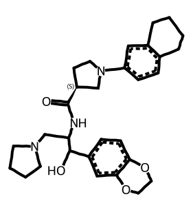 O=C(NC(CN1CCCC1)C(O)c1ccc2c(c1)OCCO2)[C@H]1CCN(c2ccc3c(c2)CCCC3)C1